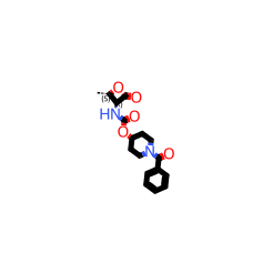 C[C@@H]1OC(=O)[C@@H]1NC(=O)OC1CCN(C(=O)c2ccccc2)CC1